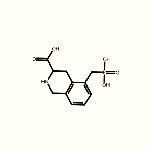 O=C(O)C1Cc2c(cccc2CP(=O)(O)O)CN1